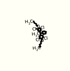 C=CCCCOc1c(Cl)cc(C(C)(c2ccccc2)c2cc(Cl)c(OCCCC=C)c(Cl)c2)cc1Cl